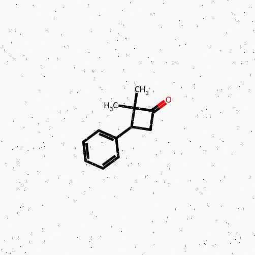 CC1(C)C(=O)CC1c1ccccc1